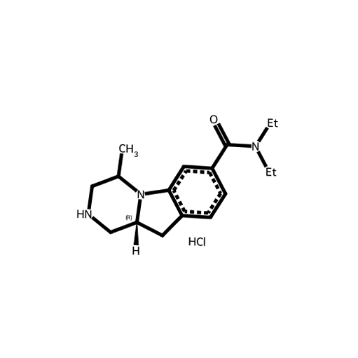 CCN(CC)C(=O)c1ccc2c(c1)N1C(C)CNC[C@H]1C2.Cl